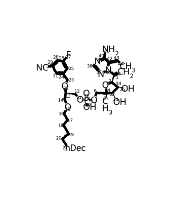 C=C([C@@H]1O[C@](C)(COP(=O)(O)OC[C@@H](COCCCCCCCCCCCCCCC)OCc2cc(F)cc(C#N)c2)[C@@H](O)[C@H]1O)N1N=CN=C(N)/C1=C/C